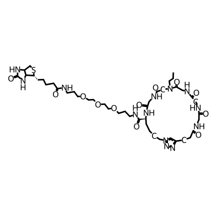 CCCN1CC(=O)NCC(=O)N[C@H](C(=O)NCCCOCCOCCOCCCNC(=O)CCCC[C@H]2SCC3NC(=O)NC32)CCCCn2cc(nn2)CCC(=O)NCC(=O)NCC(=O)NCC1=O